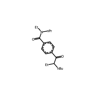 CCCCC(CC)C(=O)c1ccc(C(=O)N(CC)CCC)cc1